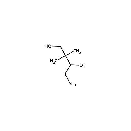 CC(C)(CO)C(O)CN